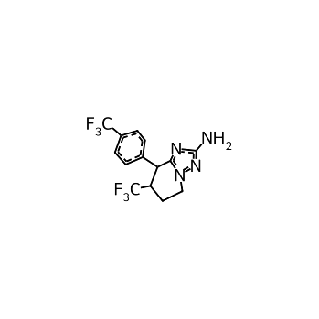 Nc1nc2n(n1)CCC(C(F)(F)F)C2c1ccc(C(F)(F)F)cc1